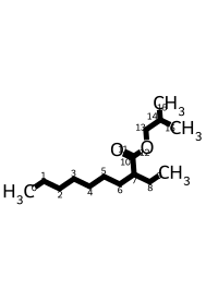 CCCCCCCC(CC)C(=O)OCC(C)C